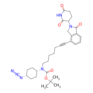 CC(C)(C)OC(=O)N(CCCCCC#Cc1cccc2c1CN(C1CCC(=O)NC1=O)C2=O)[C@H]1CC[C@@H](N=[N+]=[N-])CC1